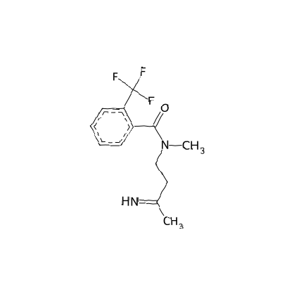 CC(=N)CCN(C)C(=O)c1ccccc1C(F)(F)F